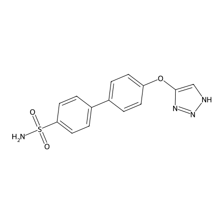 NS(=O)(=O)c1ccc(-c2ccc(Oc3c[nH]nn3)cc2)cc1